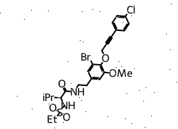 CCS(=O)(=O)N[C@H](C(=O)NCCc1cc(Br)c(OCC#Cc2ccc(Cl)cc2)c(OC)c1)C(C)C